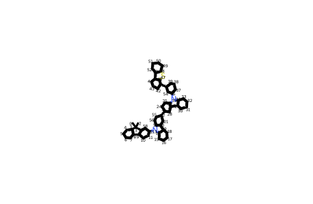 CC1(C)c2ccccc2-c2ccc(-n3c4ccccc4c4cc(-c5ccc6c(c5)c5ccccc5n6-c5cccc(-c6cccc7c6sc6ccccc67)c5)ccc43)cc21